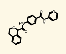 O=C(Nc1cccnc1)c1ccc(NC(=O)C2OCCc3ccccc32)cc1